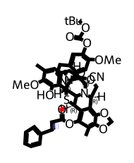 COc1cc2c(cc1OC(=O)OC(C)(C)C)CCN[C@]21CS[C@@H]2c3c(OC(=O)/C=C/c4ccccc4)c(C)c4c(c3[C@H](COC1=O)N1C2[C@@H]2c3c(cc(C)c(OC)c3O)C[C@H]([C@@H]1C#N)N2C)OCO4